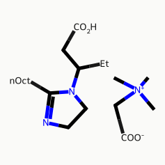 CCCCCCCCC1=NCCN1C(CC)CC(=O)O.C[N+](C)(C)CC(=O)[O-]